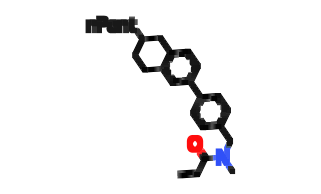 C=CC(=O)N(C)Cc1ccc(-c2ccc3c(c2)CCC(CCCCC)C3)cc1